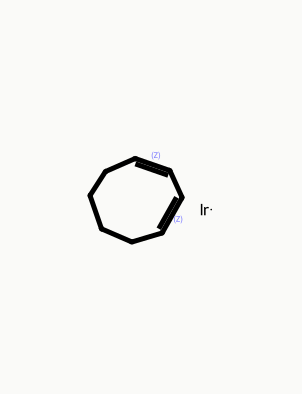 C1=C\CCCC\C=C/1.[Ir]